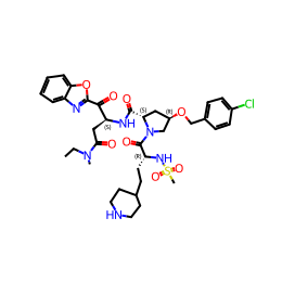 CCN(C)C(=O)C[C@H](NC(=O)[C@@H]1C[C@@H](OCc2ccc(Cl)cc2)CN1C(=O)[C@@H](CCC1CCNCC1)NS(C)(=O)=O)C(=O)c1nc2ccccc2o1